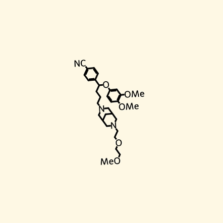 COCCOCCN1CC2CC(CN(CCCC(Oc3ccc(OC)c(OC)c3)c3ccc(C#N)cc3)C2)C1